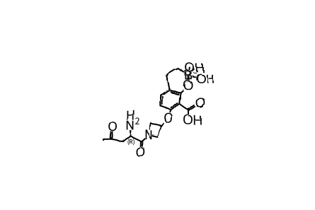 CC(=O)C[C@@H](N)C(=O)N1CC(Oc2ccc3c(c2C(=O)O)O[B-](O)(O)CC3)C1